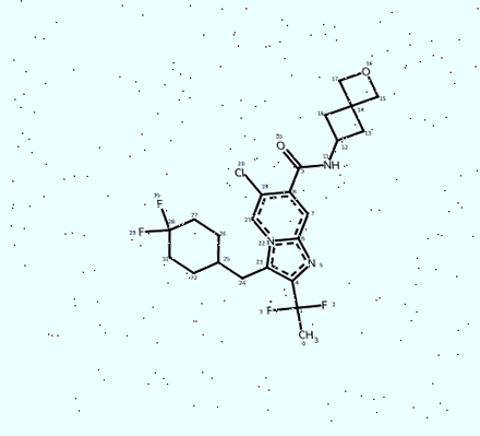 CC(F)(F)c1nc2cc(C(=O)NC3CC4(COC4)C3)c(Cl)cn2c1CC1CCC(F)(F)CC1